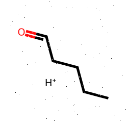 CCCCC=O.[H+]